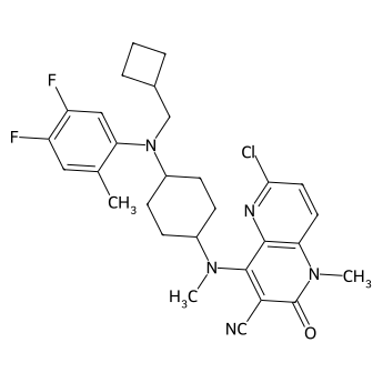 Cc1cc(F)c(F)cc1N(CC1CCC1)C1CCC(N(C)c2c(C#N)c(=O)n(C)c3ccc(Cl)nc23)CC1